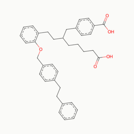 O=C(O)CCCCC(CCc1ccccc1OCc1ccc(CCc2ccccc2)cc1)Cc1ccc(C(=O)O)cc1